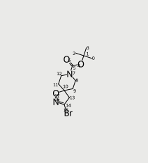 CC(C)(C)OC(=O)N1CCC2(CC1)CC(Br)=NO2